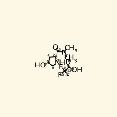 CN(C)C(=O)[C@H]1C[C@@H](O)CN1.O=C(O)C(F)(F)F